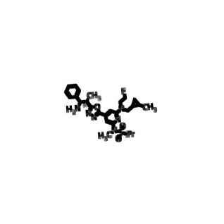 CC1CC1CN(CCF)c1cc(-c2nnc([C@H](C)C(N)c3ccccc3)o2)cc(N(C)S(=O)(=O)C(C)C)n1